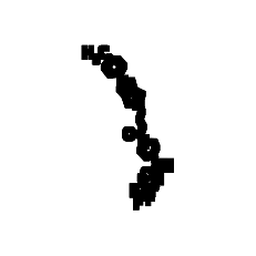 Cc1ccc(N2CC3CN(CCCC(=O)N4CCC(Nc5ccc(C(F)(F)F)cn5)CC4)CC3C2)cc1